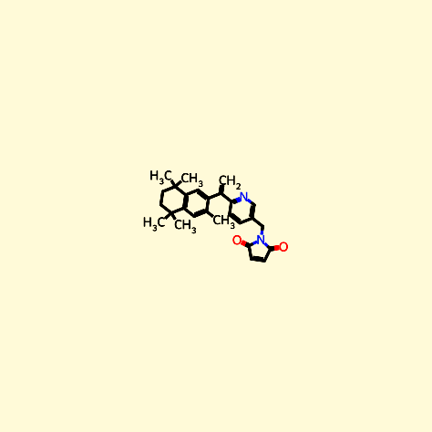 C=C(c1ccc(CN2C(=O)C=CC2=O)cn1)c1cc2c(cc1C)C(C)(C)CCC2(C)C